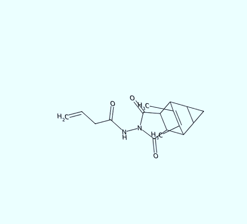 C=CCC(=O)NN1C(=O)C2C3C(C)=C(C)C(C4CC43)C2C1=O